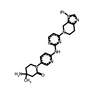 CC(C)n1cnc2c1CN(c1ccnc(Nc3ccc(N4CCC(C)(N)CC4=O)cn3)n1)CC2